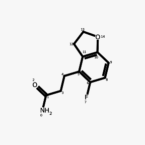 NC(=O)CCc1c(F)ccc2c1CCO2